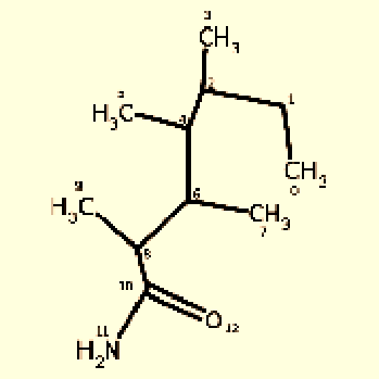 CCC(C)C(C)C(C)C(C)C(N)=O